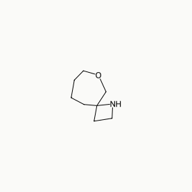 C1CCC2(CCN2)COC1